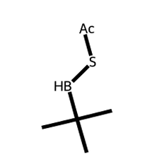 CC(=O)SBC(C)(C)C